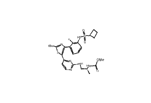 COC(=O)N[C@@H](C)CNc1nccc(-c2sc(C(C)(C)C)nc2-c2cccc(NS(=O)(=O)C3CCC3)c2F)n1